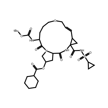 CC(C)(C)OC(=O)NC1CCCOC/C=C/C2CC2(C(=O)NS(=O)(=O)C2CC2)NC(=O)C2CC(OC(=O)C3CCCCC3)CN2C1=O